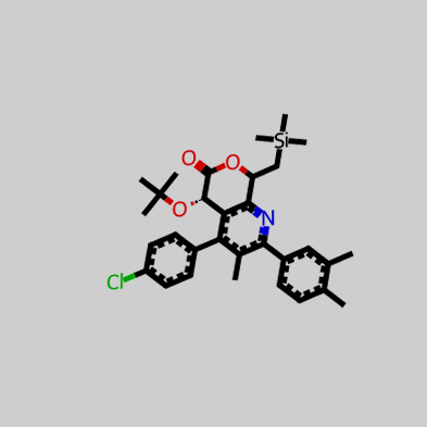 Cc1ccc(-c2nc3c(c(-c4ccc(Cl)cc4)c2C)[C@H](OC(C)(C)C)C(=O)OC3C[Si](C)(C)C)cc1C